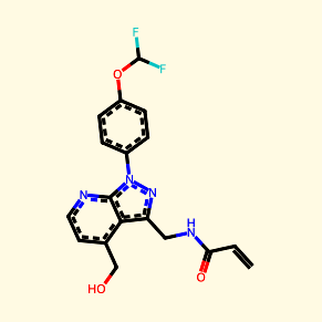 C=CC(=O)NCc1nn(-c2ccc(OC(F)F)cc2)c2nccc(CO)c12